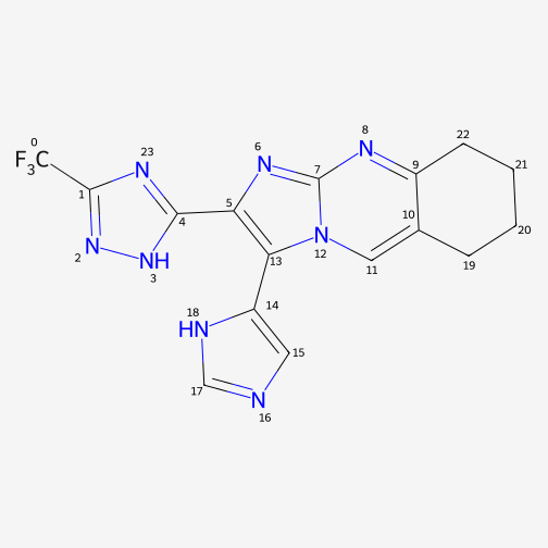 FC(F)(F)c1n[nH]c(-c2nc3nc4c(cn3c2-c2cnc[nH]2)CCCC4)n1